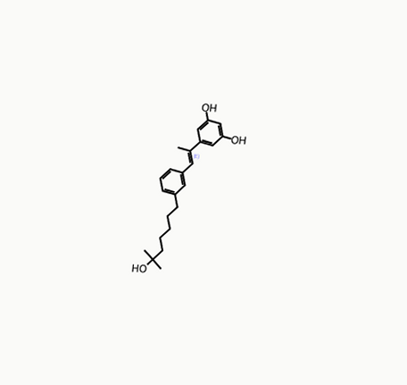 C/C(=C\c1cccc(CCCCCC(C)(C)O)c1)c1cc(O)cc(O)c1